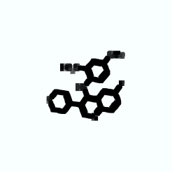 COc1ccc(Nc2c(C3=CCSCC3)cnc3ccc(F)cc23)c(C(=O)O)c1